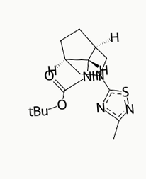 Cc1nsc(N2C[C@H]3CC[C@@H](C2)[C@@H]3NC(=O)OC(C)(C)C)n1